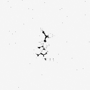 COC1=C(C(=O)O)N2C(=O)[C@@H](NC(=O)C(C)C#N)[C@@H]2SC1